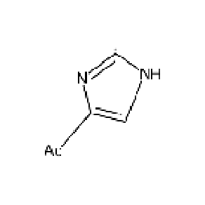 CC(=O)c1c[nH][c]n1